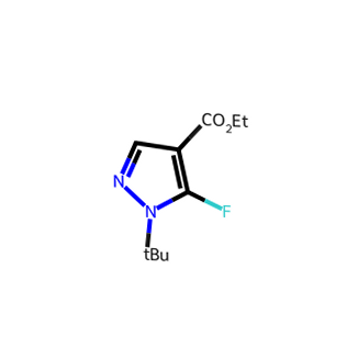 CCOC(=O)c1cnn(C(C)(C)C)c1F